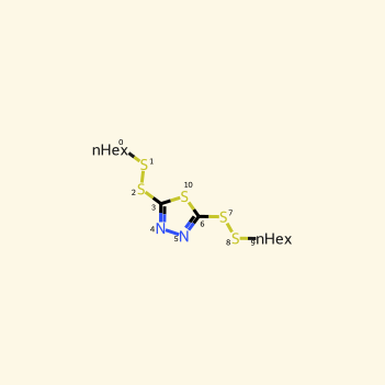 CCCCCCSSc1nnc(SSCCCCCC)s1